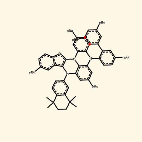 CCCCc1cc(CCCC)cc(-c2cc(CCCC)ccc2N2c3ccc(CCCC)cc3B3c4sc5ccc(CCCC)cc5c4N(c4ccc5c(c4)C(C)(C)CCC5(C)C)c4cc(CCCC)cc2c43)c1